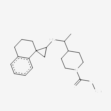 CC(NC1CC12CCCc1ccccc12)C1CCN(C(=O)OC(C)(C)C)CC1